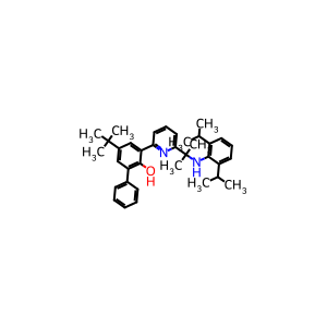 CC(C)c1cccc(C(C)C)c1NC(C)(C)c1cccc(-c2cc(C(C)(C)C)cc(-c3ccccc3)c2O)n1